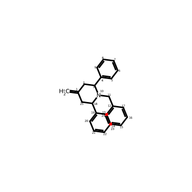 C=C1CC(c2ccccc2)N(Cc2ccccc2)C(c2ccccc2)C1